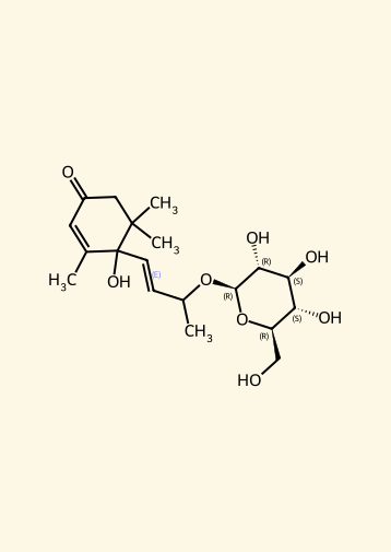 CC1=CC(=O)CC(C)(C)C1(O)/C=C/C(C)O[C@@H]1O[C@H](CO)[C@@H](O)[C@H](O)[C@H]1O